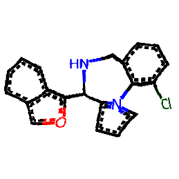 Clc1cccc2c1-n1cccc1C(c1occ3ccccc13)NC2